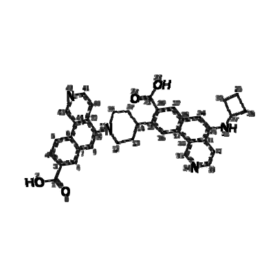 O=C(O)c1ccc2c(c1)cc(N1CCC(c3cc4c(cc3C(=O)O)cc(NC3CCC3)c3ccncc34)CC1)c1ccncc12